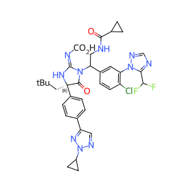 CC(C)(C)C[C@]1(c2ccc(-c3cnn(C4CC4)n3)cc2)NC(=NC(=O)O)N(C(CNC(=O)C2CC2)c2ccc(Cl)c(-n3ncnc3C(F)F)c2)C1=O